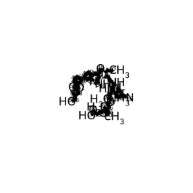 CCCN(CCCN/C(=N/c1cccc(C#N)c1)NCCC(C)(C)OCCC(C)(CC)OCCC(=O)O)C(=O)C1=Cc2ccc(-c3cccc(S(=O)(=O)N4CC(CO)C4)c3)cc2N=C(N)C1